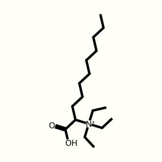 CCCCCCCCCC(C(=O)O)[N+](CC)(CC)CC